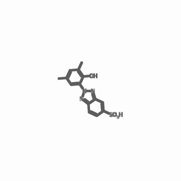 Cc1cc(C)c(O)c(-n2nc3ccc(S(=O)(=O)O)cc3n2)c1